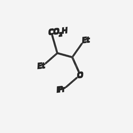 CCC(OC(C)C)C(CC)C(=O)O